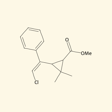 COC(=O)C1C(C(=CCl)c2ccccc2)C1(C)C